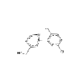 OCc1ccnc(-c2nc(Cl)ccc2Cl)c1